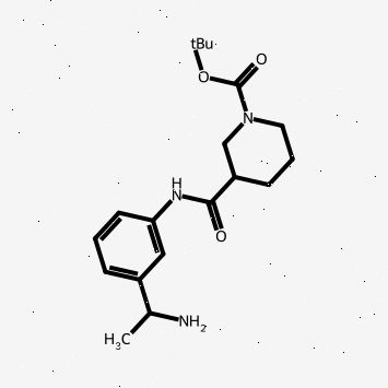 CC(N)c1cccc(NC(=O)C2CCCN(C(=O)OC(C)(C)C)C2)c1